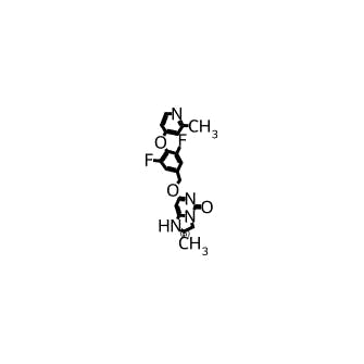 Cc1cc(Oc2c(F)cc(COc3cc4n(c(=O)n3)C[C@H](C)N4)cc2F)ccn1